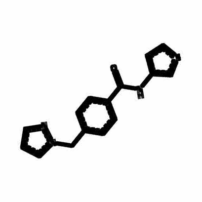 O=C(Nc1ccsc1)c1ccc(Cn2cccn2)cc1